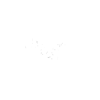 COc1ncc(NC(=O)OC(C)(C)C)cc1N1CCN(C)C1=O